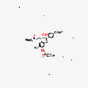 CCCCCCCCCc1ccc(C(Sc2ccc(C(C)=O)c(OCC(=O)OC)c2)C(O)CCCC(=O)OC)cc1